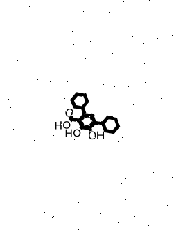 O=C(O)c1c(C2CCCCC2)cc(C2CCCCC2)c(O)c1O